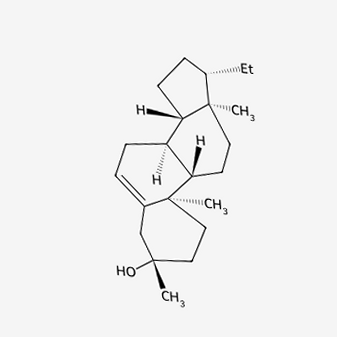 CC[C@H]1CC[C@H]2[C@@H]3CC=C4C[C@@](C)(O)CC[C@]4(C)[C@H]3CC[C@]12C